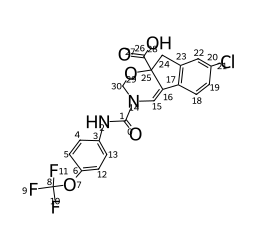 O=C(Nc1ccc(OC(F)(F)F)cc1)N1C=C2c3ccc(Cl)cc3CC2(C(=O)O)OC1